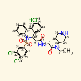 CCN(C(=O)CNC(=O)CC1c2ccccc2-c2ccccc2N1S(=O)(=O)c1ccc(Cl)c(Cl)c1)C1CCNCC1.Cl